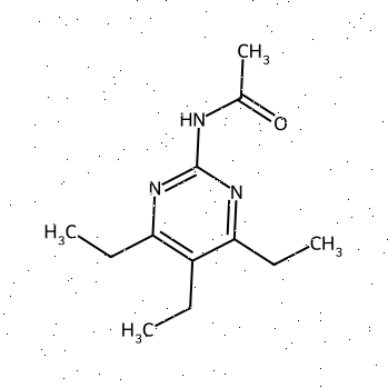 CCc1nc(NC(C)=O)nc(CC)c1CC